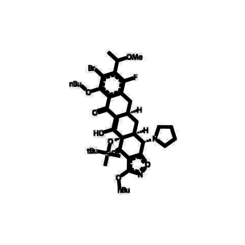 CCCCOc1noc2c1C(=O)[C@@]1(O[Si](C)(C)C(C)(C)C)C(O)=C3C(=O)c4c(c(F)c(C(C)OC)c(Br)c4OCCCC)C[C@H]3C[C@H]1[C@@H]2N1CCCC1